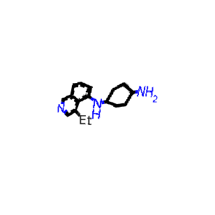 CCc1cncc2cccc(NC3CCC(N)CC3)c12